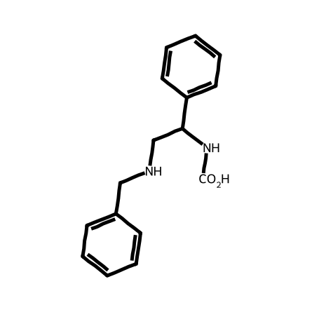 O=C(O)NC(CNCc1ccccc1)c1ccccc1